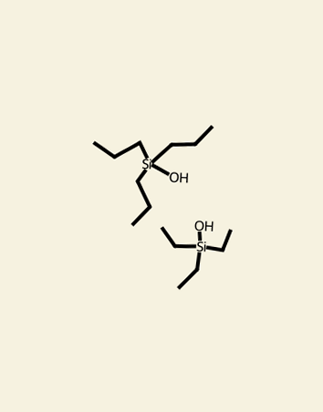 CCC[Si](O)(CCC)CCC.CC[Si](O)(CC)CC